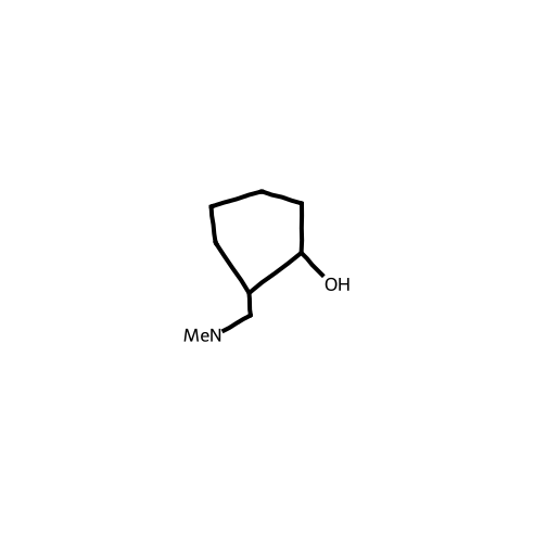 CNCC1CCCCC1O